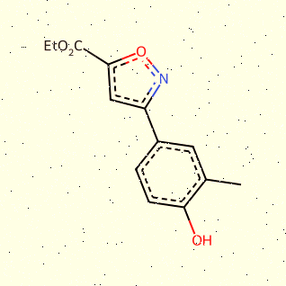 CCOC(=O)c1cc(-c2ccc(O)c(C)c2)no1